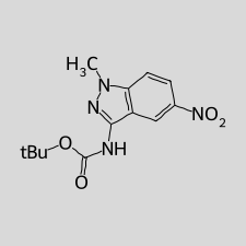 Cn1nc(NC(=O)OC(C)(C)C)c2cc([N+](=O)[O-])ccc21